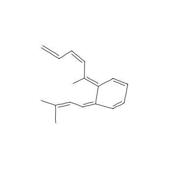 C=C\C=C/C(C)=c1\cccc\c1=C\C=C(C)C